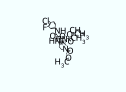 COCC(=O)N1CC[C@H](NC(=O)C(=O)Nc2ccc(Cl)c(F)c2)[C@H](NC(=O)OC(C)(C)C)C1